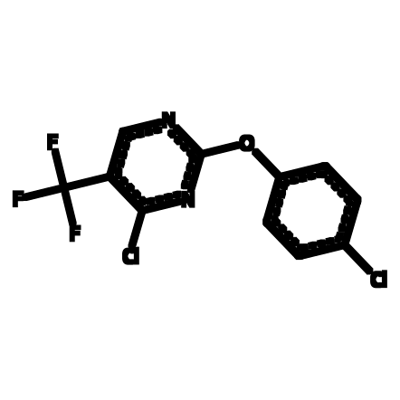 FC(F)(F)c1cnc(Oc2ccc(Cl)cc2)nc1Cl